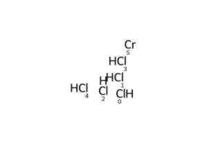 Cl.Cl.Cl.Cl.Cl.[Cr]